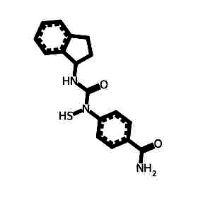 NC(=O)c1ccc(N(S)C(=O)NC2CCc3ccccc32)cc1